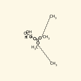 CCCCCCCCCCCCCCCCC(C)c1ccc(N(c2ccc(-c3ccc(/C=C(\C#N)C(=O)O)s3)cc2)c2ccc(C(C)CCCCCCCCCCCCCCCC)cc2)cc1